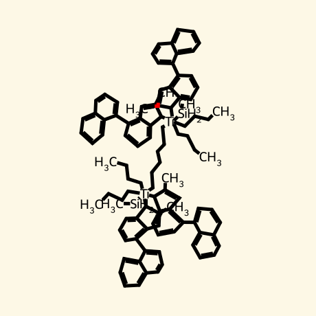 CCC[CH2][Ti]([CH2]CCC)([CH2]CCCC[CH2][Ti]([CH2]CCC)([CH2]CCC)([SiH2]C)([CH]1C(C)=Cc2c(-c3cccc4ccccc34)cccc21)[CH]1C(C)=Cc2c(-c3cccc4ccccc34)cccc21)([SiH2]C)([CH]1C(C)=Cc2c(-c3cccc4ccccc34)cccc21)[CH]1C(C)=Cc2c(-c3cccc4ccccc34)cccc21